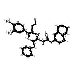 CCCc1nc(NC(=O)Cc2ccc3ccccc3c2)c(Cc2ccccc2)nc1-c1ccc(O)c(O)c1